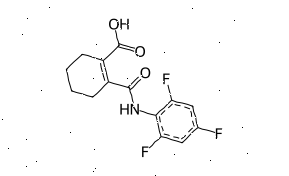 O=C(O)C1=C(C(=O)Nc2c(F)cc(F)cc2F)CCCC1